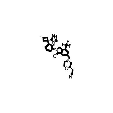 Cn1cnnc1[C@]1(c2cccc(N3Cc4c(cc(CN5CCO[C@H](CC#N)C5)cc4C(F)(F)F)C3=O)c2)C[C@H](C)C1